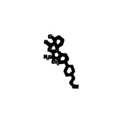 CC1(C)c2cc(C3CCN(CCO)CC3)ccc2-n2c1nc(=O)c1c(Cl)cccc12